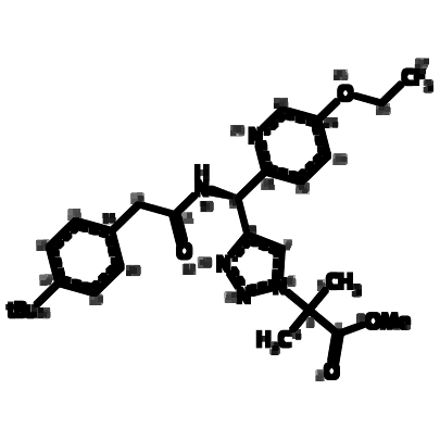 COC(=O)C(C)(C)n1cc([C@@H](NC(=O)Cc2ccc(C(C)(C)C)cc2)c2ccc(OCC(F)(F)F)cn2)nn1